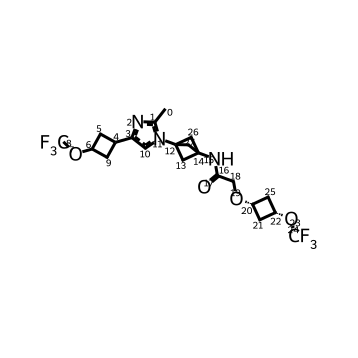 Cc1nc(C2CC(OC(F)(F)F)C2)cn1C12CC(NC(=O)CO[C@H]3C[C@@H](OC(F)(F)F)C3)(C1)C2